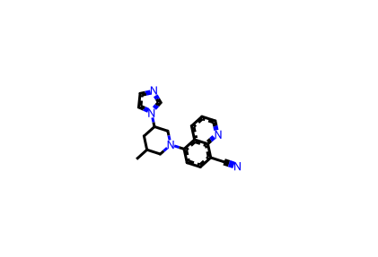 CC1CC(n2ccnc2)CN(c2ccc(C#N)c3ncccc23)C1